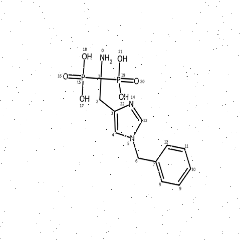 NC(Cc1cn(Cc2ccccc2)cn1)(P(=O)(O)O)P(=O)(O)O